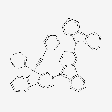 C(#CC1(C2=CCCC=C2)c2ccccc2-c2ccc(-n3c4ccccc4c4cc(-n5c6ccccc6c6ccccc65)ccc43)cc21)c1ccccc1